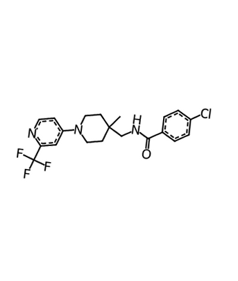 CC1(CNC(=O)c2ccc(Cl)cc2)CCN(c2ccnc(C(F)(F)F)c2)CC1